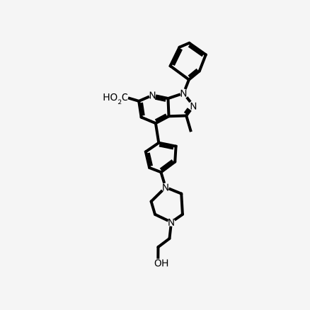 Cc1nn(-c2ccccc2)c2nc(C(=O)O)cc(-c3ccc(N4CCN(CCO)CC4)cc3)c12